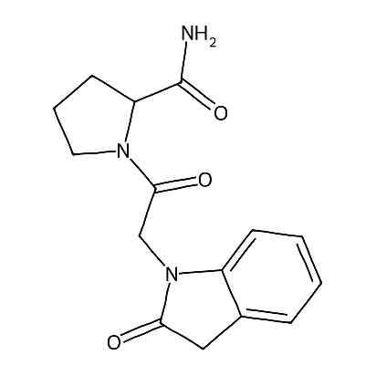 NC(=O)C1CCCN1C(=O)CN1C(=O)Cc2ccccc21